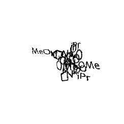 COC(=O)N(C(=O)[C@@H](N)C(C)C)C(=O)[C@@H]1CCCN1[C@H](C(=O)c1nn(-c2ccc(OC)cc2OC)c(=O)o1)C(C)C